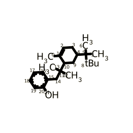 CC1=CCC(C(C)(C)C(C)(C)C)CC1C(C)(C)Cc1ccccc1O